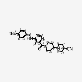 Cc1c(NCc2ccc(C(C)(C)C)cc2)ncnc1C(=O)N1CCC(N2CCC(C#N)CC2)CC1